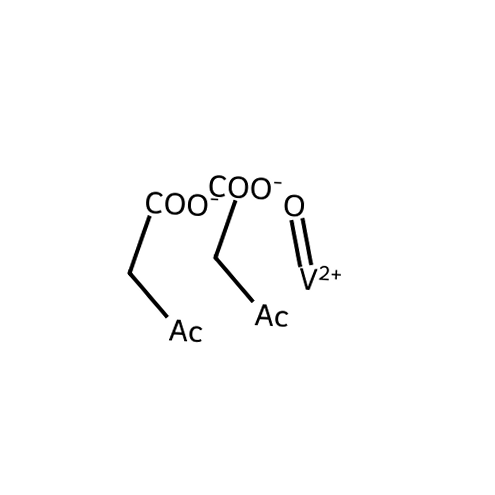 CC(=O)CC(=O)[O-].CC(=O)CC(=O)[O-].[O]=[V+2]